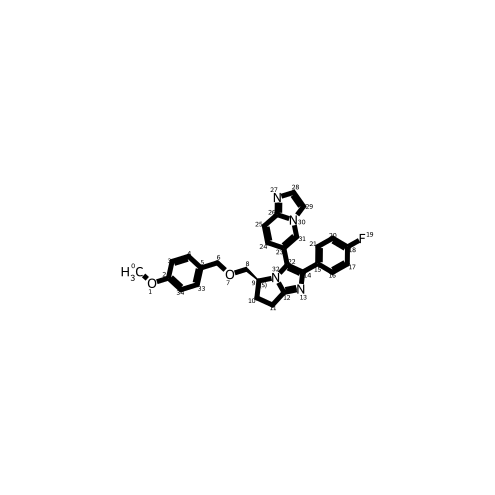 COc1ccc(COC[C@@H]2CCc3nc(-c4ccc(F)cc4)c(-c4ccc5nccn5c4)n32)cc1